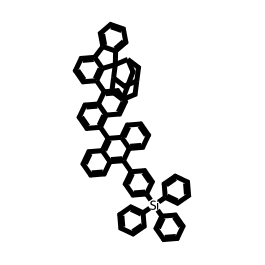 c1ccc([Si](c2ccccc2)(c2ccccc2)c2ccc(-c3c4ccccc4c(-c4cccc5c(-c6cccc7c6C6(c8ccccc8-7)C7CC8CC(C7)CC6C8)cccc45)c4ccccc34)cc2)cc1